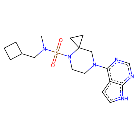 CN(CC1CCC1)S(=O)(=O)N1CCN(c2ncnc3[nH]ccc23)CC12CC2